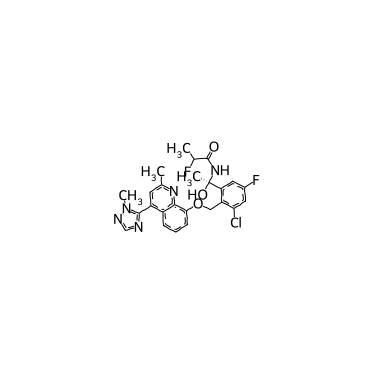 Cc1cc(-c2ncnn2C)c2cccc(OCc3c(Cl)cc(F)cc3[C@@](C)(O)NC(=O)C(C)F)c2n1